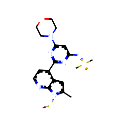 Cc1cc2c(-c3nc(N=S(C)(C)=O)cc(N4CCOC[C@H]4C)n3)ccnc2n1SI